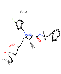 CC(C)c1c(C(=O)NC(C)(C)c2ccccc2)nn(-c2ccc(F)cc2)c1CC[C@@H](O)C[C@@H](O)CC(=O)[O-].[Na+]